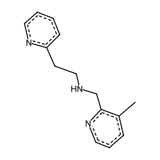 Cc1cccnc1CNCCc1ccccn1